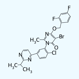 Cc1nc(OCc2ccc(F)cc2F)c(Br)c(=O)n1-c1cc(-c2ccnc(C(C)C)n2)ccc1Cl